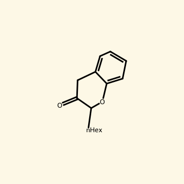 CCCCCCC1Oc2ccccc2CC1=O